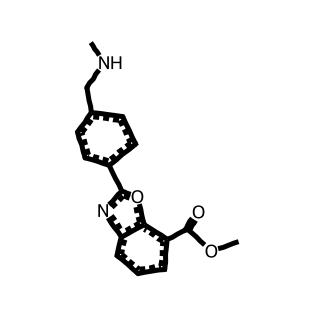 CNCc1ccc(-c2nc3cccc(C(=O)OC)c3o2)cc1